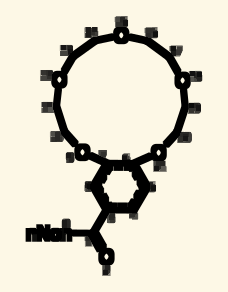 CCCCCCCCCC(=O)c1ccc2c(c1)OCCOCCOCCOCCO2